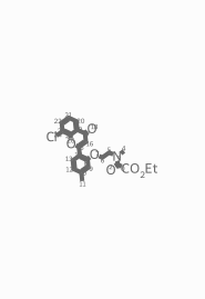 CCOC(=O)C(=O)N(C)CCOc1cc(C)ccc1-c1cc(=O)c2cccc(Cl)c2o1